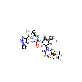 CCn1cc(CN2CC(=O)N(c3cc(N4CCOC(C)(C)C4)cc(C(F)(F)F)c3F)N=C2C)cn1